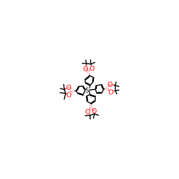 CC1(C)OB(c2ccc([Si](c3ccc(B4OC(C)(C)C(C)(C)O4)cc3)(c3ccc(B4OC(C)(C)C(C)(C)O4)cc3)c3ccc(B4OC(C)(C)C(C)(C)O4)cc3)cc2)OC1(C)C